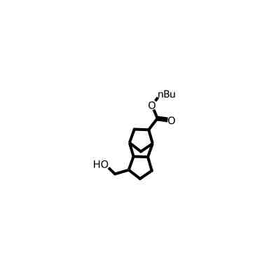 CCCCOC(=O)C1CC2CC1C1CCC(CO)C21